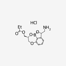 CCC(=O)OC[C@@H]1COc2cccc3c2B(OC3CN)O1.Cl